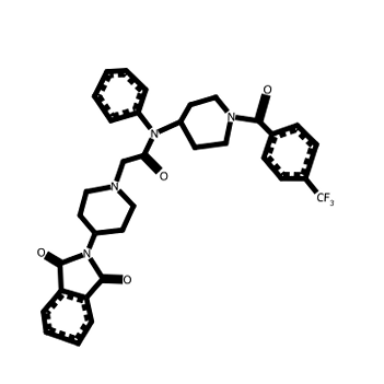 O=C(c1ccc(C(F)(F)F)cc1)N1CCC(N(C(=O)CN2CCC(N3C(=O)c4ccccc4C3=O)CC2)c2ccccc2)CC1